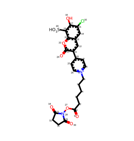 O=C(CCCCC[n+]1ccc(-c2cc3cc(Cl)c(O)c(S(=O)(=O)O)c3oc2=O)cc1)ON1C(=O)CCC1=O